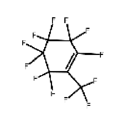 FC1=C(C(F)(F)F)C(F)(F)C(F)(F)C(F)(F)C1(F)F